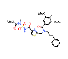 COC(=O)N(C)S(=O)(=O)NC(=O)c1csc(CN(CCCc2ccccc2)C(=O)c2cc(OC)c(C)c(OC)c2)n1